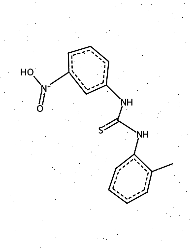 Cc1ccccc1NC(=S)Nc1cccc([N+](=O)O)c1